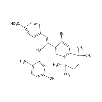 CCc1cc2c(cc1C(C)=Cc1ccc(C(=O)O)cc1)C(C)(C)CCC2(C)C.Nc1ccc(O)cc1